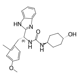 COc1ccc(C[C@@H](NC(=O)N[C@H]2CC[C@H](O)CC2)c2nc3ccccc3[nH]2)c(C)c1